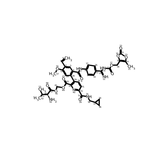 C=Cc1cc(C(=O)Nc2ccc(C(=N)NC(=O)OCc3oc(=O)oc3C)cc2)c(-c2ccc(C(=O)NCC3CC3)nc2C(=O)OCOC(=O)[C@@H](N)C(C)C)cc1OC